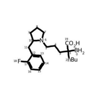 BC(CCCC)(CCCN1CCCC1Cc1ccccc1F)C(=O)O